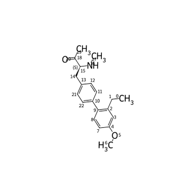 CCc1cc(OC)ccc1-c1ccc(C[C@H](NC)C(C)=O)cc1